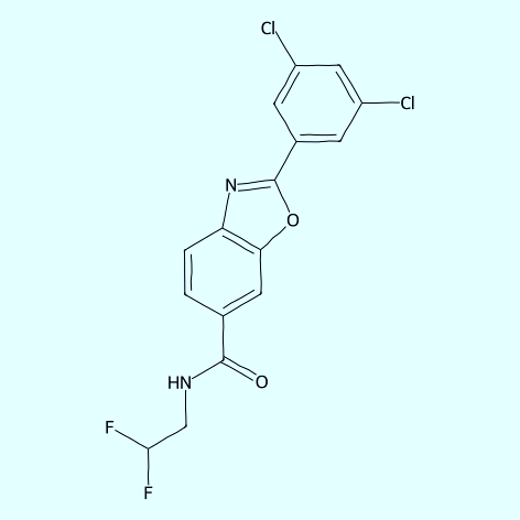 O=C(NCC(F)F)c1ccc2nc(-c3cc(Cl)cc(Cl)c3)oc2c1